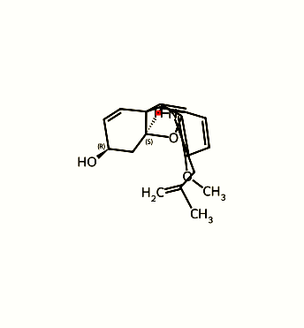 C=C(C)CN1CCC23C=C[C@H](O)C[C@@H]2Oc2c(OC)ccc(c23)C1